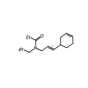 CCC(=O)N(C/C=C/C1CC=CCC1)CC(C)C